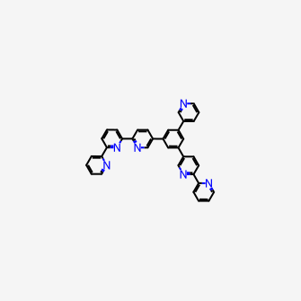 c1ccc(-c2ccc(-c3cc(-c4cccnc4)cc(-c4ccc(-c5cccc(-c6ccccn6)n5)nc4)c3)cn2)nc1